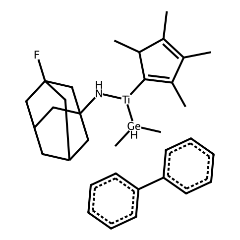 CC1=C(C)C(C)[C]([Ti]([NH]C23CC4CC(CC(F)(C4)C2)C3)[GeH]([CH3])[CH3])=C1C.c1ccc(-c2ccccc2)cc1